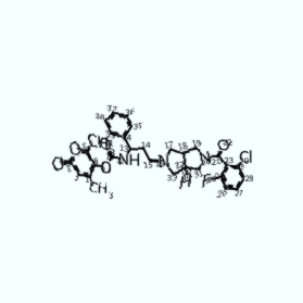 Cc1cc(=O)oc(C)c1OC(=O)NC(CCN1CC2CN(C(=O)c3c(F)cccc3Cl)C[C@@H]2C1)c1ccccc1